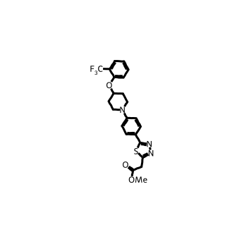 COC(=O)Cc1nnc(-c2ccc(N3CCC(Oc4ccccc4C(F)(F)F)CC3)cc2)s1